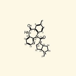 Cc1ccc2c(c1)C(=O)Nc1cccnc1N2C(=O)N1CCC2C1CCN2C